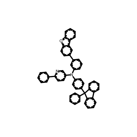 c1ccc(-c2ccc(N(c3ccc(C4(c5ccccc5)c5ccccc5-c5ccccc54)cc3)c3cccc(-c4ccc5oc6ccccc6c5c4)c3)cn2)cc1